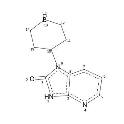 O=c1[nH]c2ncccc2n1C1CCBCC1